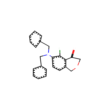 O=C1COCc2ccc(N(Cc3ccccc3)Cc3ccccc3)c(Br)c21